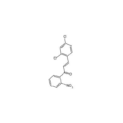 O=C(C=Cc1ccc(Cl)cc1Cl)c1ccccc1[N+](=O)[O-]